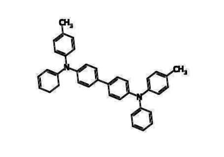 Cc1ccc(N(C2=CC=CCC2)c2ccc(-c3ccc(N(c4ccccc4)c4ccc(C)cc4)cc3)cc2)cc1